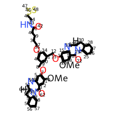 COc1cc2c(cc1OCc1cc(COc3cc4c(cc3OC)C(=O)N3c5ccccc5C[C@H]3C=N4)cc(OCCCCC(=O)NCCS(C)=S)c1)N=C[C@@H]1Cc3ccccc3N1C2=O